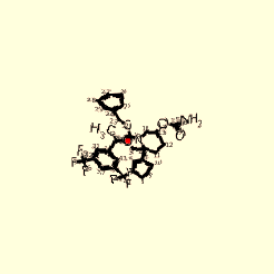 C[C@@H](OCC1(c2ccccc2)CCC(OC(N)=O)CN1C(=O)OCc1ccccc1)c1cc(C(F)(F)F)cc(C(F)(F)F)c1